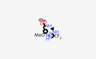 COc1cc(C[C@H](N)C(=O)OC(C)(C)C)ccc1Nc1ncc(C(F)(F)F)c(NC2CC2)n1